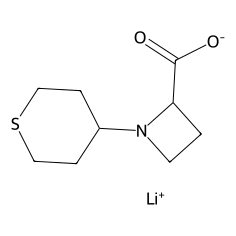 O=C([O-])C1CCN1C1CCSCC1.[Li+]